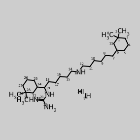 CC1(C)CCCC(CCCCCCNCCCCCC(NC(=N)N)C2CCCC(C)(C)C2)C1.I.I